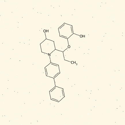 CCC(Oc1ccccc1O)C1CC(O)CCN1c1ccc(-c2ccccc2)cc1